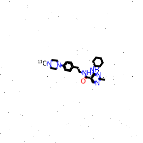 Cc1ncc(C(=O)NCCc2ccc(N3CCN([11CH3])CC3)cc2)c(NC2CCCCC2)n1